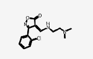 CN(C)CCNC=C1C(=O)ON=C1c1ccccc1Cl